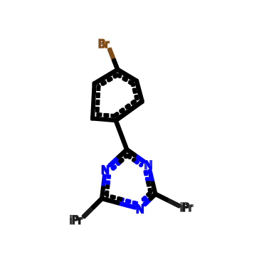 CC(C)c1nc(-c2ccc(Br)cc2)nc(C(C)C)n1